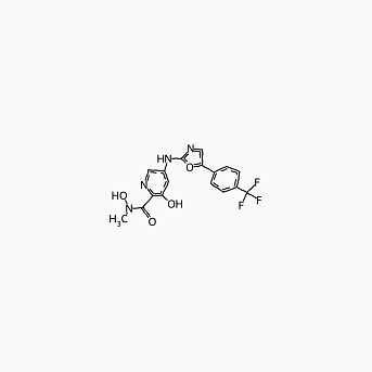 CN(O)C(=O)c1ncc(Nc2ncc(-c3ccc(C(F)(F)F)cc3)o2)cc1O